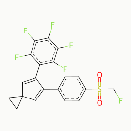 O=S(=O)(CF)c1ccc(C2=CC3(C=C2c2c(F)c(F)c(F)c(F)c2F)CC3)cc1